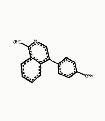 COc1ccc(-c2cnc(C=O)c3ccccc23)cc1